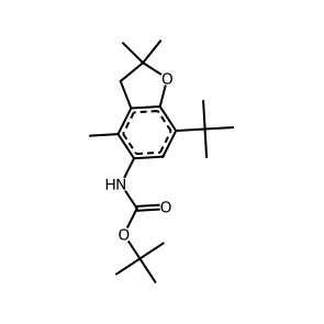 Cc1c(NC(=O)OC(C)(C)C)cc(C(C)(C)C)c2c1CC(C)(C)O2